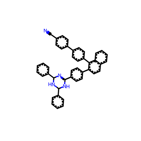 N#Cc1ccc(-c2ccc(-c3c(-c4ccc(C5=NC(c6ccccc6)NC(c6ccccc6)N5)cc4)ccc4ccccc34)cc2)cc1